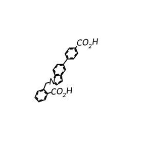 O=C(O)c1ccc(-c2ccc3c(ccn3Cc3ccccc3C(=O)O)c2)cc1